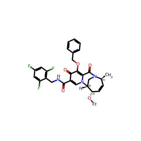 CCO[C@H]1C=C[C@H](C)N2C[C@H]1n1cc(C(=O)NCc3c(F)cc(F)cc3F)c(=O)c(OCc3ccccc3)c1C2=O